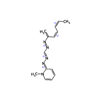 C=C(/C=C\C=C/C)/N=N/C=N/N=c1\ccccn1C